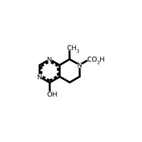 CC1c2ncnc(O)c2CCN1C(=O)O